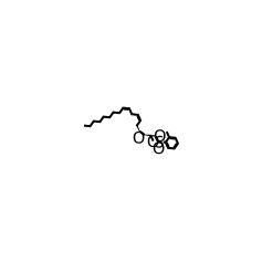 CCCCCCCC/C=C\C/C=C\C[C@@H]1O[C@@H]1COS(=O)(=O)c1ccccc1C